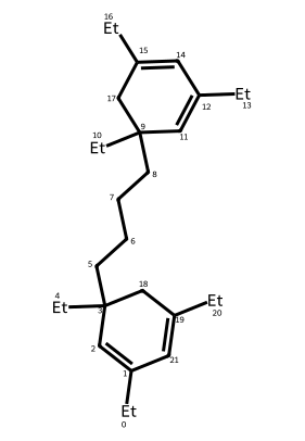 CCC1=CC(CC)(CCCCC2(CC)C=C(CC)C=C(CC)C2)CC(CC)=C1